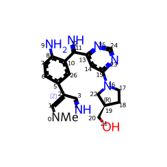 CN/C=C(\C=N)c1ccc(N)c(C(=N)c2cc(N3CC[C@@H](CO)C3)ncn2)c1